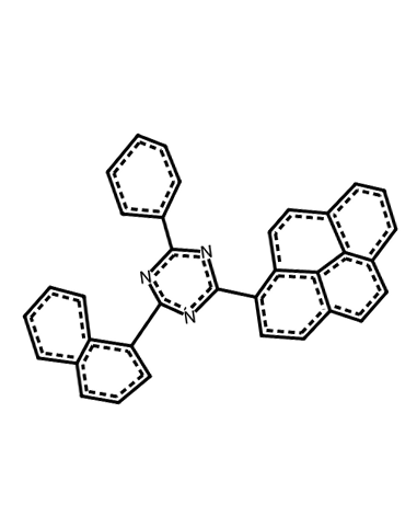 c1ccc(-c2nc(-c3cccc4ccccc34)nc(-c3ccc4ccc5cccc6ccc3c4c56)n2)cc1